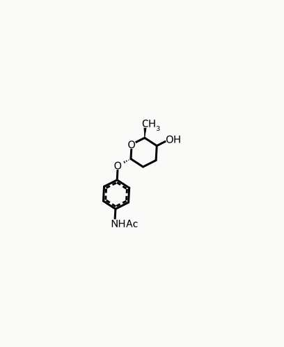 CC(=O)Nc1ccc(O[C@H]2CCC(O)[C@H](C)O2)cc1